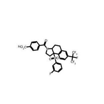 O=C(O)c1ccc(C(=O)N2CCC3(S(=O)(=O)c4cccc(F)c4)c4ccc(C(F)(C(F)(F)F)C(F)(F)F)cc4CCC23)cc1